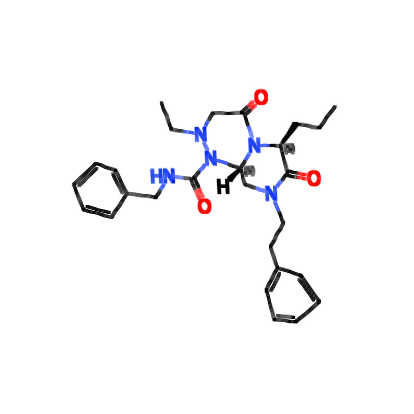 CCC[C@H]1C(=O)N(CCc2ccccc2)C[C@H]2N1C(=O)CN(CC)N2C(=O)NCc1ccccc1